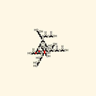 OCC(O)CCCC(COC(COCC(O)CO)COCC(COCC(O)CO)OCC(CCCC(O)CO)OCC(COCC(COCC(O)COCC(O)CO)OCC(O)CO)OCC(COCC(O)COCC(O)CO)OCC(O)COCC(O)CO)OCC(O)COCC(O)CO